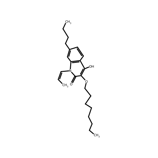 C/C=C\n1c(=O)c(OCCCCCCCC)c(O)c2ccc(CCCC)cc21